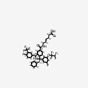 CC(F)C(F)(F)Oc1cc(F)cc([C@](Cc2ccccc2)(NC(=O)c2ccc(F)c(C(F)(F)F)c2)c2ccc(C(=O)NCCCCCC(=O)O)cc2)c1